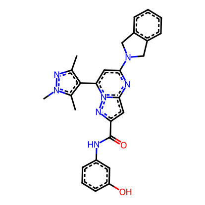 Cc1nn(C)c(C)c1-c1cc(N2Cc3ccccc3C2)nc2cc(C(=O)Nc3cccc(O)c3)nn12